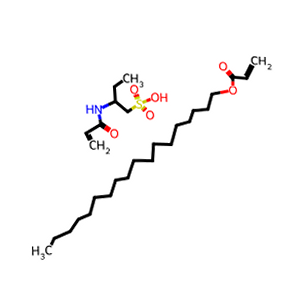 C=CC(=O)NC(CC)CS(=O)(=O)O.C=CC(=O)OCCCCCCCCCCCCCCCCCC